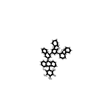 [2H]c1c([2H])c([2H])c(-c2c3ccccc3c(-c3cc(-c4cc(-c5cccc6c5oc5ccccc56)c5oc6ccccc6c5c4)c4ccccc4c3)c3ccccc23)c([2H])c1[2H]